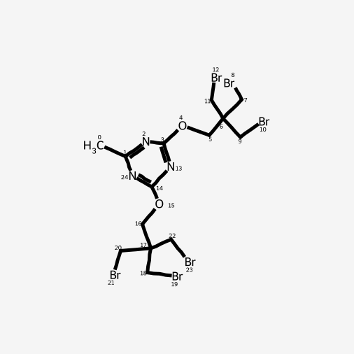 Cc1nc(OCC(CBr)(CBr)CBr)nc(OCC(CBr)(CBr)CBr)n1